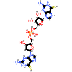 Nc1nc2c(ncn2[C@@H]2O[C@H](COP(=O)(O)OC[C@H]3O[C@@H](n4cnc5c(=S)[nH]c(N)nc54)C[C@H]3O)[C@H](O)[C@@H]2O)c(=S)[nH]1